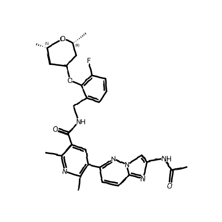 CC(=O)Nc1cn2nc(-c3cc(C(=O)NCc4cccc(F)c4OC4C[C@@H](C)O[C@@H](C)C4)c(C)nc3C)ccc2n1